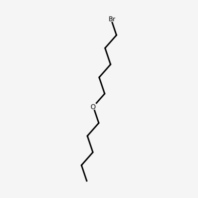 CCCCCOCCCCCBr